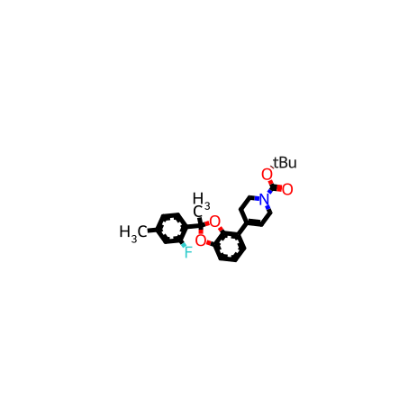 Cc1ccc(C2(C)Oc3cccc(C4=CCN(C(=O)OC(C)(C)C)CC4)c3O2)c(F)c1